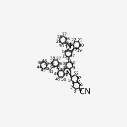 N#Cc1ccc2cc(-n3c4ccc(-c5ccc6c(c5)c5ccccc5n6-c5ccccc5)cc4c4c(-c5cccc6c5Cc5ccccc5-6)cccc43)ccc2c1